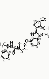 CCn1ncc(-c2nc3c(OC4CCN(C(=O)N[C@H](C)c5ccccc5)C4)ncnc3n2C)c1C